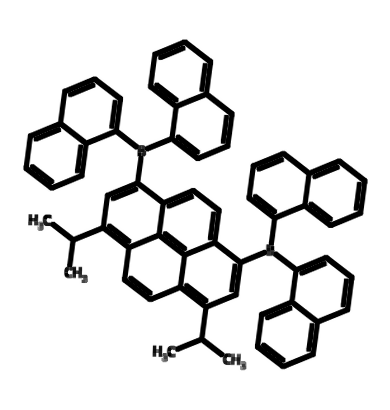 CC(C)c1cc(B(c2cccc3ccccc23)c2cccc3ccccc23)c2ccc3c(B(c4cccc5ccccc45)c4cccc5ccccc45)cc(C(C)C)c4ccc1c2c34